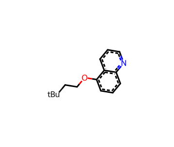 CC(C)(C)CCOc1cccc2ncccc12